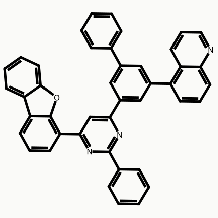 c1ccc(-c2cc(-c3cc(-c4cccc5c4oc4ccccc45)nc(-c4ccccc4)n3)cc(-c3cccc4ncccc34)c2)cc1